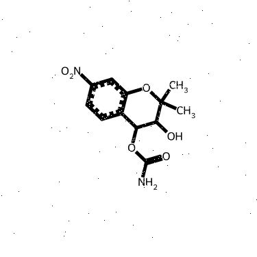 CC1(C)Oc2cc([N+](=O)[O-])ccc2C(OC(N)=O)C1O